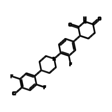 O=C1CCC(c2ccc(N3CCC(c4cc(F)c(Cl)cc4F)CC3)c(F)c2)C(=O)N1